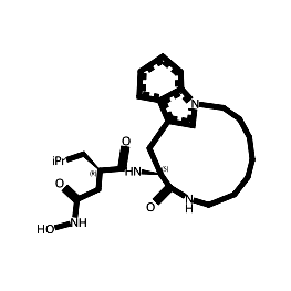 CC(C)C[C@H](CC(=O)NO)C(=O)N[C@H]1Cc2cn(c3ccccc23)CCCCCCCNC1=O